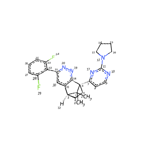 CC1(C)[C@H]2CC[C@]1(c1ccnc(N3CCCC3)n1)c1nnc(-c3c(F)cccc3F)cc12